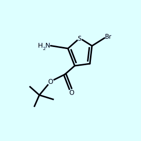 CC(C)(C)OC(=O)c1cc(Br)sc1N